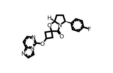 O=C1N2[C@@H](CC[C@H]2c2ccc(F)cc2)OC12CC(Oc1nccc3nccn13)C2